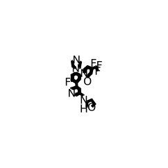 CN1CCN(c2cc(F)c(-c3cncc(CNC4CCOC4)c3)cc2-n2ccc(C(F)(F)F)cc2=O)CC1